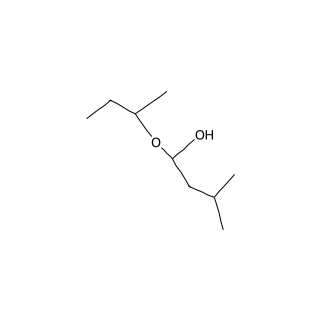 CCC(C)OC(O)CC(C)C